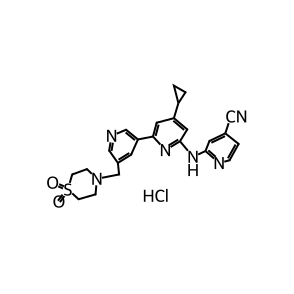 Cl.N#Cc1ccnc(Nc2cc(C3CC3)cc(-c3cncc(CN4CCS(=O)(=O)CC4)c3)n2)c1